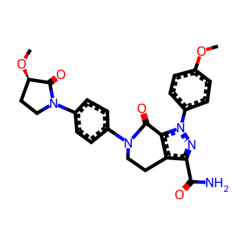 COc1ccc(-n2nc(C(N)=O)c3c2C(=O)N(c2ccc(N4CC[C@@H](OC)C4=O)cc2)CC3)cc1